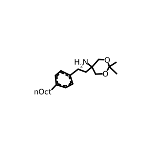 CCCCCCCCc1ccc(CCC2(N)COC(C)(C)OC2)cc1